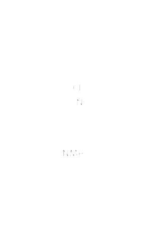 C/N=C/CCNC